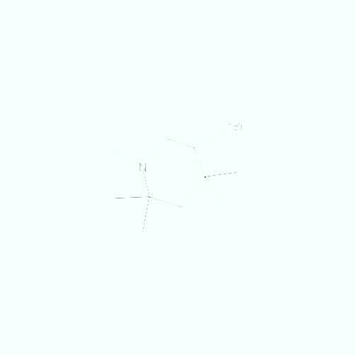 CN1CC(C(C)(C)C)C(C)(C)CC1(C)C